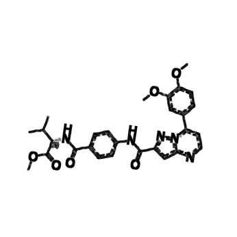 COC(=O)[C@@H](NC(=O)c1ccc(NC(=O)c2cc3nccc(-c4ccc(OC)c(OC)c4)n3n2)cc1)C(C)C